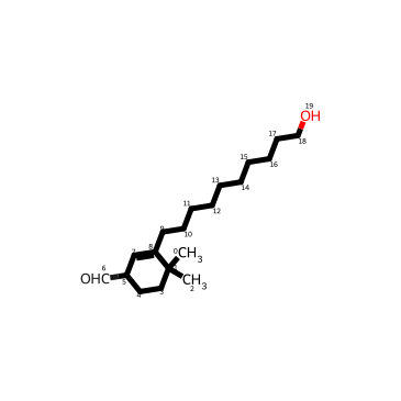 CC1(C)CCC(C=O)C=C1CCCCCCCCCCO